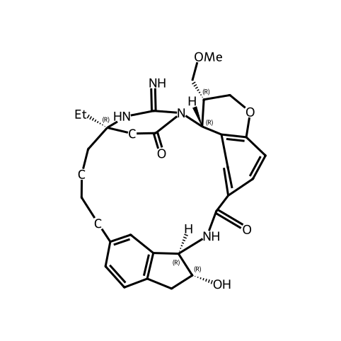 CC[C@]12CCCCc3ccc4c(c3)[C@@H](NC(=O)c3ccc5c(c3)[C@@H]([C@H](COC)CO5)N(C(=N)N1)C(=O)C2)[C@H](O)C4